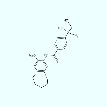 COc1cc2c(cc1NC(=O)c1ccc(C(C)(C)CO)cc1)CCCCC2